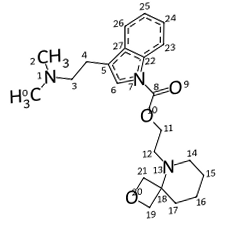 CN(C)CCc1cn(C(=O)OCCN2CCCCC23COC3)c2ccccc12